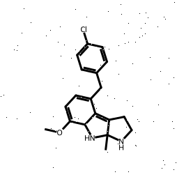 COC1=CC=C(Cc2ccc(Cl)cc2)C2=C3CCNC3(C)NC12